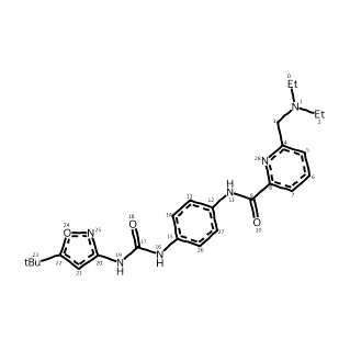 CCN(CC)Cc1cccc(C(=O)Nc2ccc(NC(=O)Nc3cc(C(C)(C)C)on3)cc2)n1